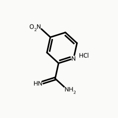 Cl.N=C(N)c1cc([N+](=O)[O-])ccn1